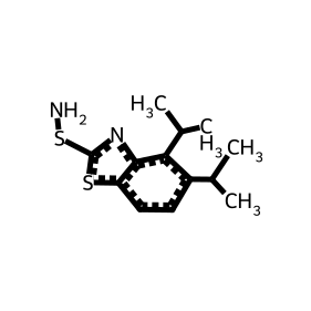 CC(C)c1ccc2sc(SN)nc2c1C(C)C